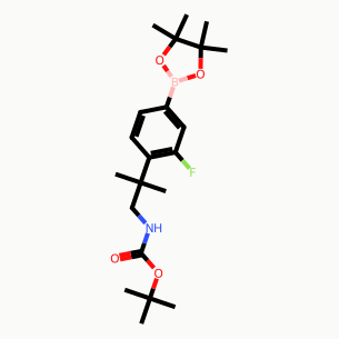 CC(C)(C)OC(=O)NCC(C)(C)c1ccc(B2OC(C)(C)C(C)(C)O2)cc1F